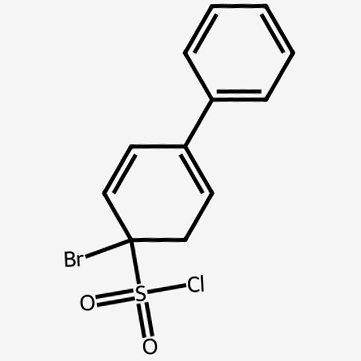 O=S(=O)(Cl)C1(Br)C=CC(c2ccccc2)=CC1